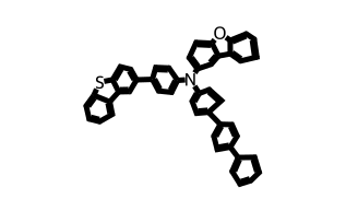 c1ccc(-c2ccc(-c3ccc(N(c4ccc(-c5ccc6sc7ccccc7c6c5)cc4)c4ccc5oc6ccccc6c5c4)cc3)cc2)cc1